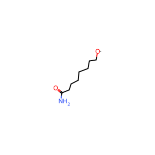 NC(=O)CCCCCCC[O]